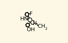 C=CCN1CCC2(c3cccc(O)c3)Cc3[nH]c4cccc(F)c4c3CC2C1